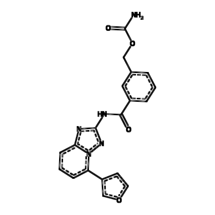 NC(=O)OCc1cccc(C(=O)Nc2nc3cccc(-c4ccoc4)n3n2)c1